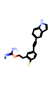 C/N=C(/N)OCCc1cc(C#Cc2ccc3[nH]ccc3c2)ccc1F